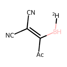 [2H]BC(C(C)=O)=C(C#N)C#N